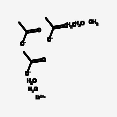 CC(=O)[O-].CC(=O)[O-].CC(=O)[O-].O.O.O.O.O.[Er+3]